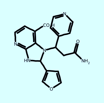 NC(=O)CC(c1ccncc1)N1c2c(C(=O)O)ccnc2NC1c1ccoc1